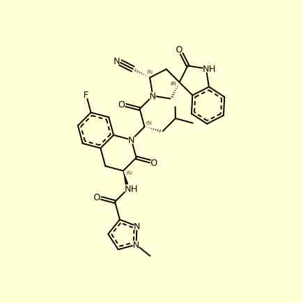 CC(C)C[C@@H](C(=O)N1C[C@]2(C[C@H]1C#N)C(=O)Nc1ccccc12)N1C(=O)[C@@H](NC(=O)c2ccn(C)n2)Cc2ccc(F)cc21